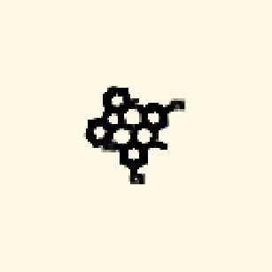 CN1c2cc(C#N)cc(C#N)c2N(B2c3ccccc3-c3ccccc32)c2c(C#N)cc(C#N)cc21